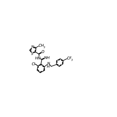 Cc1ncsc1C(=O)NC(=N)c1c(Cl)cccc1NCc1ccc(C(F)(F)F)cc1